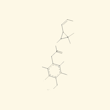 COCc1c(F)c(F)c(CC(=O)OC2C(/C=C\C(F)(F)F)C2(C)C)c(F)c1F